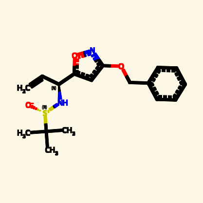 C=C[C@H](N[S@@+]([O-])C(C)(C)C)c1cc(OCc2ccccc2)no1